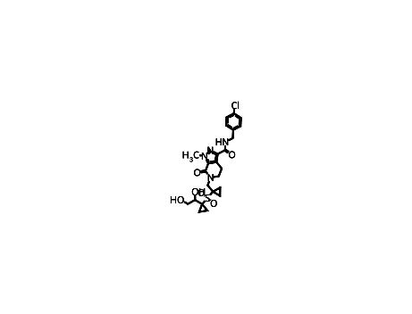 Cn1nc(C(=O)NCc2ccc(Cl)cc2)c2c1C(=O)N(CC1(S(=O)(=O)C3(C(O)CO)CC3)CC1)CC2